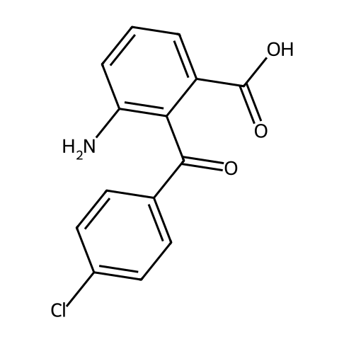 Nc1cccc(C(=O)O)c1C(=O)c1ccc(Cl)cc1